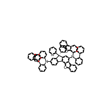 c1ccc(-c2ccccc2N(c2ccc3c(c2)[C@@](c2ccccc2)(c2ccccn2)c2cc(N(c4ccccc4-c4ccccc4)c4cccc5c4oc4ccccc45)c4c(oc5ccccc54)c2-3)c2cccc3c2oc2ccccc23)cc1